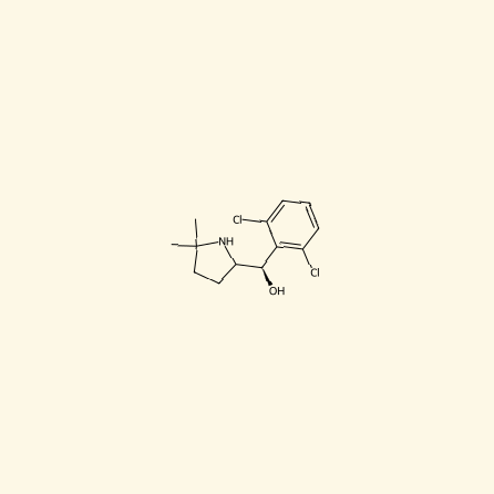 CC1(C)CCC([C@H](O)c2c(Cl)cccc2Cl)N1